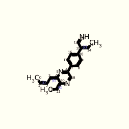 C\C=C/C=c1/nc(-c2ccc(/C(C=N)=C/C)cc2)cn/c1=C/C